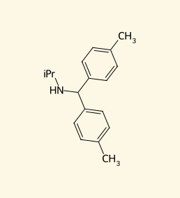 Cc1ccc(C(NC(C)C)c2ccc(C)cc2)cc1